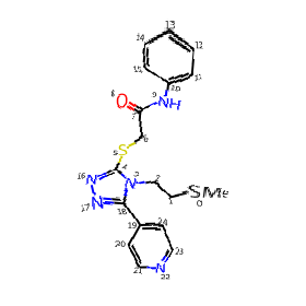 CSCCn1c(SCC(=O)Nc2ccccc2)nnc1-c1ccncc1